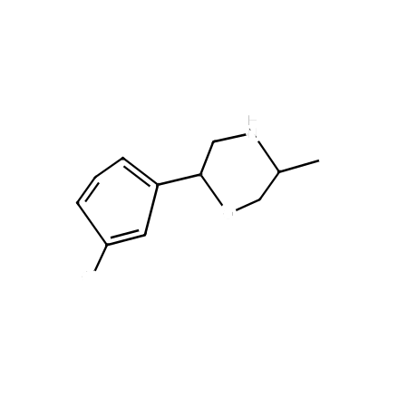 CC1COC(c2cccc(Cl)c2)CN1